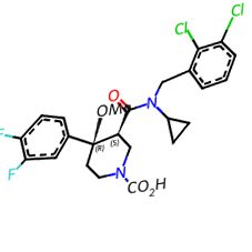 CO[C@]1(c2ccc(F)c(F)c2)CCN(C(=O)O)C[C@@H]1C(=O)N(Cc1cccc(Cl)c1Cl)C1CC1